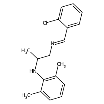 Cc1cccc(C)c1NC(C)CN=Cc1ccccc1Cl